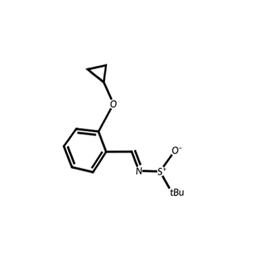 CC(C)(C)[S+]([O-])N=Cc1ccccc1OC1CC1